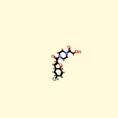 O=C(CO)N1CCN(C(=O)C2=CC3C=C(Cl)C=CC3O2)CC1